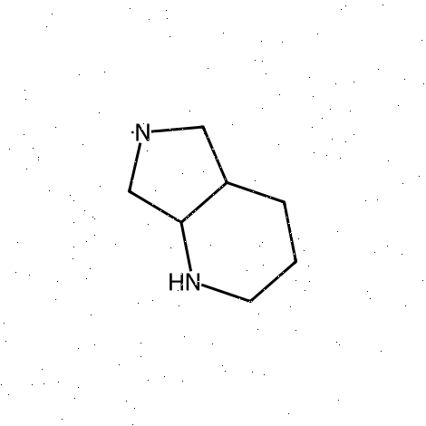 C1CNC2C[N]CC2C1